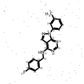 Cc1cccc(-n2ncc3c(NCc4ccc(F)cc4)ncnc32)c1